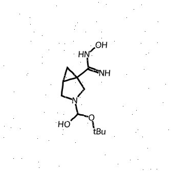 CC(C)(C)OC(O)N1CC2CC2(C(=N)NO)C1